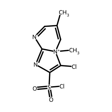 CC1=C[N+]2(C)C(=NC(S(=O)(=O)Cl)=C2Cl)N=C1